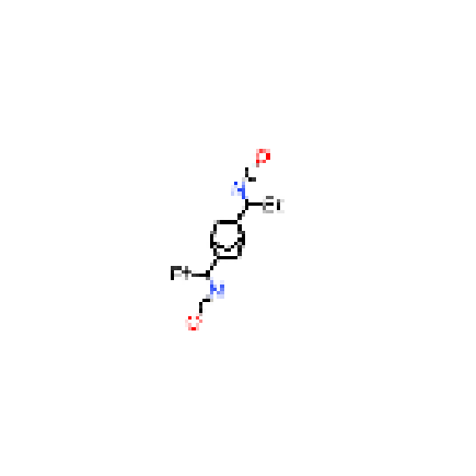 CCC(N=C=O)C1CC2CC1CC2C(CC)N=C=O